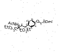 CCCCCCCCCCCOc1ccc(CCC(NC(C)=O)(C(=O)OCC)C(=O)OCC)cc1